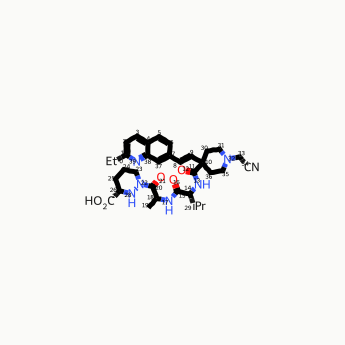 CCc1ccc2ccc(/C=C/C3(C(=O)NC(C(=O)NC(C)C(=O)N4CCCC(C(=O)O)N4)C(C)C)CCN(CC#N)CC3)cc2n1